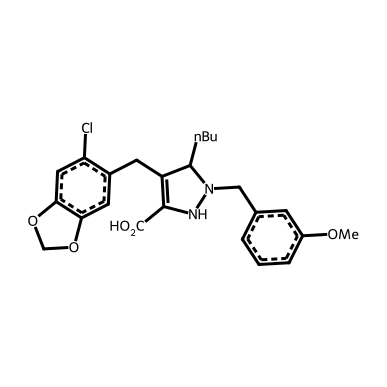 CCCCC1C(Cc2cc3c(cc2Cl)OCO3)=C(C(=O)O)NN1Cc1cccc(OC)c1